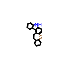 C1=Cc2c(ccc3[nH]c4ccccc4c23)Sc2ccccc21